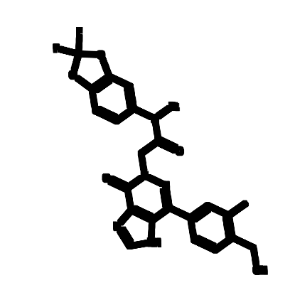 CCN(C(=O)Cn1nc(-c2ccc(CO)c(C)c2)c2[nH]cnc2c1=O)c1ccc2c(c1)OC(F)(F)O2